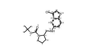 CC(C)(C)OC(=O)N1CCCC1CNc1ccc2ncc(Cl)n2n1